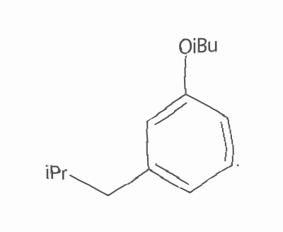 CC(C)COc1c[c]cc(CC(C)C)c1